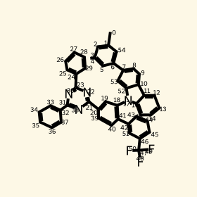 Cc1cc(C)cc(-c2ccc3c4ccccc4n(-c4cc(-c5nc(-c6ccccc6)nc(-c6ccccc6)n5)ccc4-c4cccc(C(F)(F)F)c4)c3c2)c1